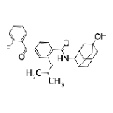 CC(C)Cc1cc(C(=O)c2ccccc2F)ccc1C(=O)NC1C2CC3CC1CC(O)(C3)C2